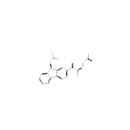 CC(=O)O/N=C(/C)C(=O)c1ccc2c(c1)/C(=N\C(C)C)c1ccccc1-2